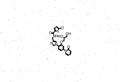 O=C(NCc1cn(-c2ccc(-n3ccccc3=O)cc2OC[C@@H](O)CO)cn1)c1ccc(Cl)s1